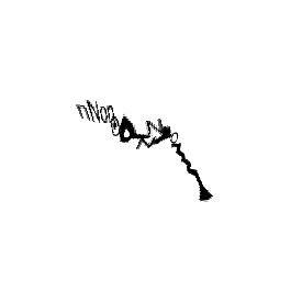 CCCCCCCCCOc1ccc(-c2ncc(OCCCCCCCCC3CC3)cn2)cc1